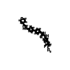 CC(F)(CF)Cc1cc(NC(=O)Nc2ccc(-c3cnc(NCCN4CCOCC4)nc3)cc2)no1